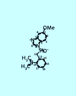 COc1ccc2c(c1)ncn2[S+]([O-])Cc1ccccc1N(C)C